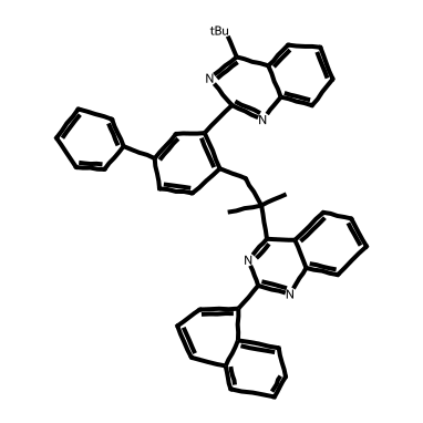 CC(C)(C)c1nc(-c2cc(-c3ccccc3)ccc2CC(C)(C)c2nc(-c3cccc4ccccc34)nc3ccccc23)nc2ccccc12